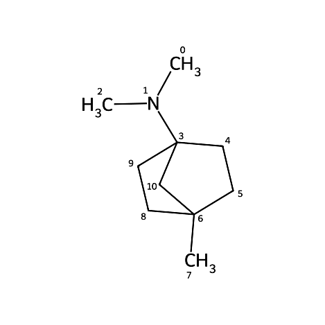 CN(C)C12CCC(C)(CC1)C2